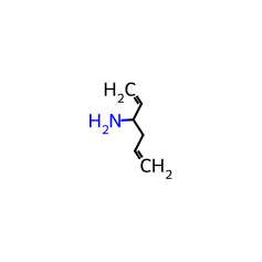 C=CCC(N)C=C